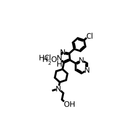 CN(CCO)C1CCC(c2[nH]nc(-c3ccc(Cl)cc3)c2-c2ccncn2)CC1.Cl.O